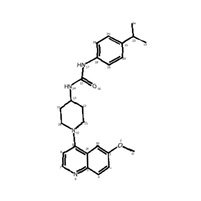 COc1ccc2nccc(N3CCC(NC(=O)Nc4ccc(C(C)C)cc4)CC3)c2c1